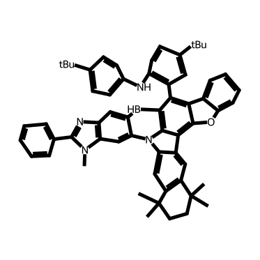 Cn1c(-c2ccccc2)nc2cc3c(cc21)-n1c2cc4c(cc2c2c5oc6ccccc6c5c(-c5cc(C(C)(C)C)ccc5Nc5ccc(C(C)(C)C)cc5)c(c21)B3)C(C)(C)CCC4(C)C